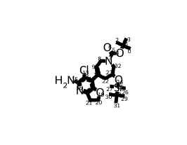 CC(C)(C)OC(=O)N1CC=C(c2c(Cl)c(N)nc3c2OCC3)CC(O[Si](C)(C)C(C)(C)C)C1